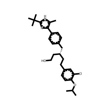 Cc1[nH]c(C(C)(C)C)nc1-c1ccc(C[C@@H](CCO)CCc2ccc(OC(C)C)c(Cl)c2)cc1